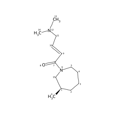 C[C@@H]1CCCCN(C(=O)/C=C/CN(C)C)C1